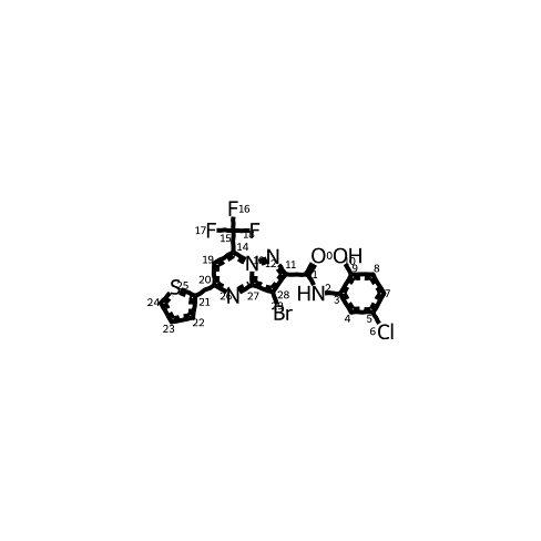 O=C(Nc1cc(Cl)ccc1O)c1nn2c(C(F)(F)F)cc(-c3cccs3)nc2c1Br